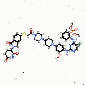 COc1cc(N2CCC(N3CCN(C(=O)CSc4ccc5c(c4)CN(C4CCC(=O)NC4=O)C5=O)CC3)CC2)ccc1Nc1ncc(Cl)c(Nc2ccccc2P(=O)(OC)OC)n1